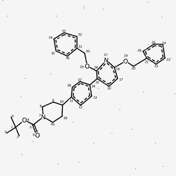 CC(C)(C)OC(=O)N1CCC(c2ccc(-c3ccc(OCc4ccccc4)nc3OCc3ccccc3)cc2)CC1